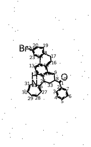 O=C(c1ccccc1)C1C=c2c(ccc3c2=CCc2ccc(Br)cc2-3)C(C2=CC=CC=CN2)C1